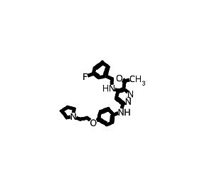 CC(=O)c1nnc(Nc2ccc(OCCN3CCCC3)cc2)cc1NCc1cccc(F)c1